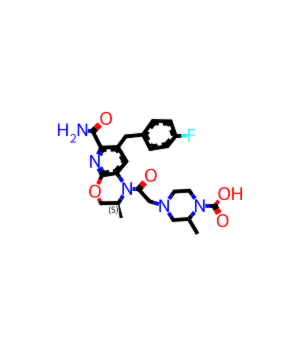 CC1CN(CC(=O)N2c3cc(Cc4ccc(F)cc4)c(C(N)=O)nc3OC[C@@H]2C)CCN1C(=O)O